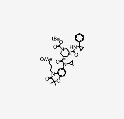 COCCCN1C(=O)C(C)(C)Oc2ccc(N(C(=O)[C@@H]3C[C@H](C(=O)NC4(c5ccccc5)CC4)CN(C(=O)OC(C)(C)C)C3)C3CC3)cc21